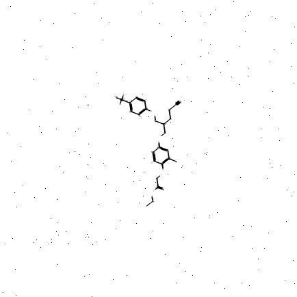 CCOC(=O)COc1ccc(SCC(CCC#N)COc2ccc(C(F)(F)F)cc2)cc1C